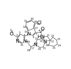 COc1cc(-n2cc(C(=O)NCC3(N4CCN(C(C)C)CC4)CCCCC3)c3c(Cl)cccc32)ncn1